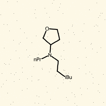 CCCN(CCC(C)CC)C1CCOC1